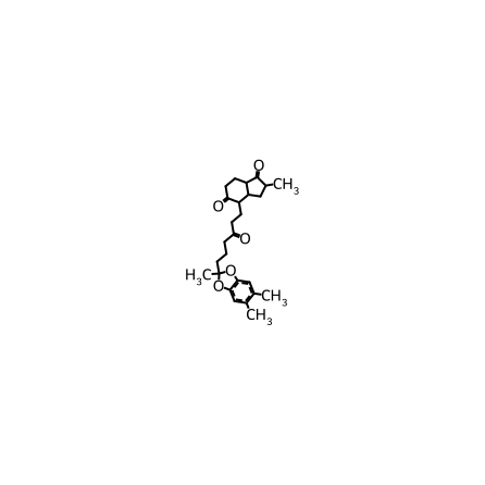 Cc1cc2c(cc1C)OC(C)(CCCC(=O)CCC1C(=O)CCC3C(=O)C(C)CC13)O2